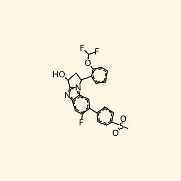 CS(=O)(=O)c1ccc(-c2cc3c(cc2F)nc2n3C(c3ccccc3OC(F)F)C[C@@H]2O)cc1